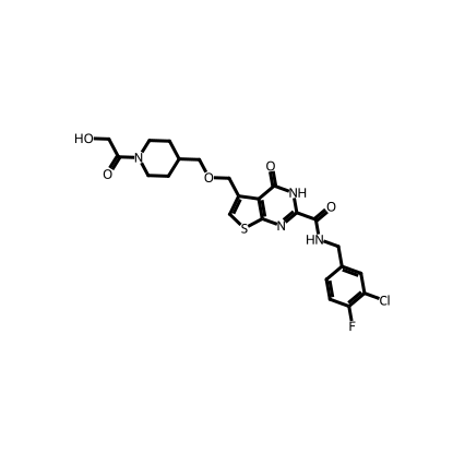 O=C(NCc1ccc(F)c(Cl)c1)c1nc2scc(COCC3CCN(C(=O)CO)CC3)c2c(=O)[nH]1